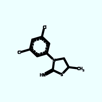 CC1CN(c2cc(Cl)cc(Cl)c2)C(=N)S1